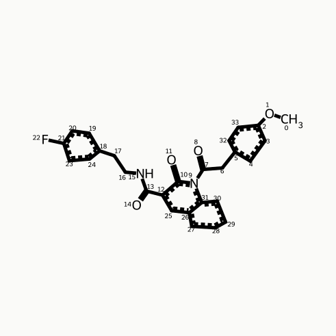 COc1ccc(CC(=O)n2c(=O)c(C(=O)NCCc3ccc(F)cc3)cc3ccccc32)cc1